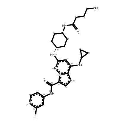 NCCCC(=O)N[C@H]1CC[C@H](Nc2cc(NC3CC3)c3ncc(C(=O)Nc4ccnc(F)c4)n3n2)CC1